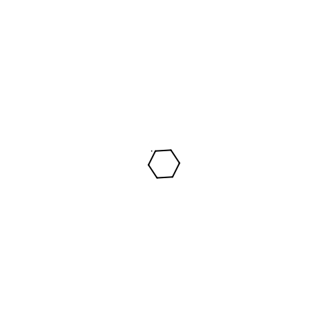 [CH]1CCCCC1